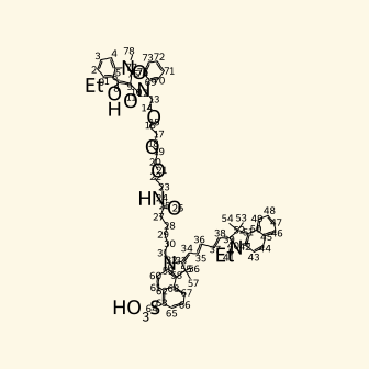 CCc1cccc2c1c(O)c(C(=O)N(CCOCCOCCOCCNC(=O)CCCCCN1/C(=C/C=C/C=C/C3=[N+](CC)c4ccc5ccccc5c4C3(C)C)C(C)(C)c3c1ccc1c(S(=O)(=O)O)cccc31)c1ccccc1)c(=O)n2C